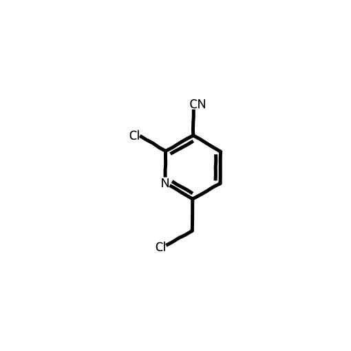 N#Cc1ccc(CCl)nc1Cl